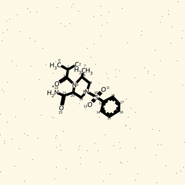 CC(C)C(=O)N1C(C)CN(S(=O)(=O)c2ccccc2)CC1C(N)=O